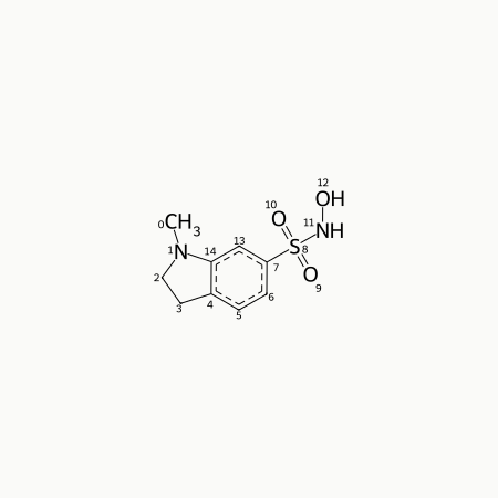 CN1CCc2ccc(S(=O)(=O)NO)cc21